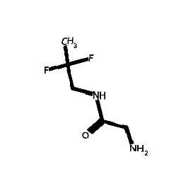 CC(F)(F)CNC(=O)CN